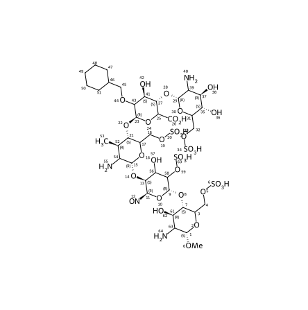 CO[C@H]1OC(COS(=O)(=O)O)[C@@H](O[C@@H]2O[C@@H](N=O)[C@@H](O[C@H]3OC(COS(=O)(=O)O)[C@@H](O[C@@H]4OC(C(=O)O)[C@@H](O[C@H]5OC(COS(=O)(=O)O)[C@@H](O)[C@H](O)C5N)[C@H](O)C4OCC4CCCCC4)[C@H](C)C3N)C(O)C2OS(=O)(=O)O)[C@H](O)C1N